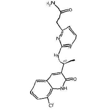 C[C@H](Nc1nccc(CC(N)=O)n1)c1cc2cccc(Cl)c2[nH]c1=O